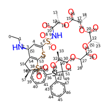 CCN[C@H]1C=C(S(=O)(=O)NC(=O)[C@H](C)OC(=O)[C@H](C)OC(=O)[C@H](C)OC(=O)C(C)OC(=O)[C@H](C)O[Si](c2ccccc2)(c2ccccc2)C(C)(C)C)SC2=C1C[C@H](C)S2(=O)=O